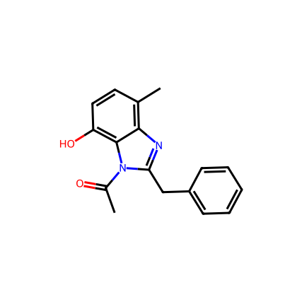 CC(=O)n1c(Cc2ccccc2)nc2c(C)ccc(O)c21